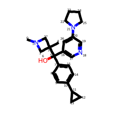 CN1CC(C)(C(O)(c2ccc(C3CC3)cc2)c2cncc(N3CCCC3)c2)C1